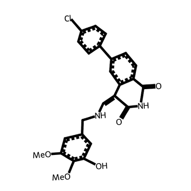 COc1cc(CNC=C2C(=O)NC(=O)c3ccc(-c4ccc(Cl)cc4)cc32)cc(O)c1OC